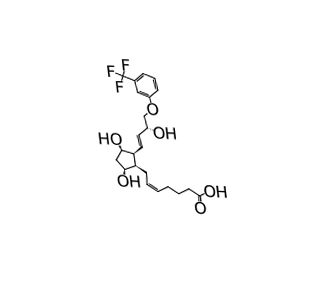 O=C(O)CCC/C=C\C[C@@H]1[C@H](/C=C/[C@@H](O)COc2cccc(C(F)(F)F)c2)[C@H](O)C[C@@H]1O